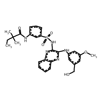 CCC(C)(C)C(=O)Nc1cccc(S(=O)(=O)Nc2nc3ccccc3nc2Nc2cc(CO)cc(OC)c2)c1